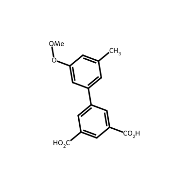 COOc1cc(C)cc(-c2cc(C(=O)O)cc(C(=O)O)c2)c1